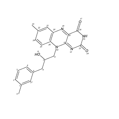 Cc1cccc(CC(O)Cn2c3nc(=O)[nH]c(=O)c-3nc3cc(C)ccc32)c1